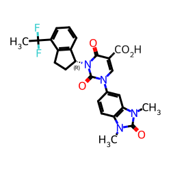 Cn1c(=O)n(C)c2cc(-n3cc(C(=O)O)c(=O)n([C@@H]4CCc5c4cccc5C(C)(F)F)c3=O)ccc21